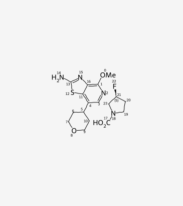 COc1ncc(C2CCOCC2)c2sc(N)nc12.O=C(O)N1CC[C@H](F)C1